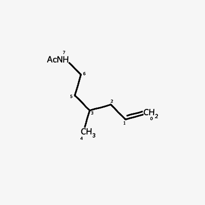 C=CCC(C)CCNC(C)=O